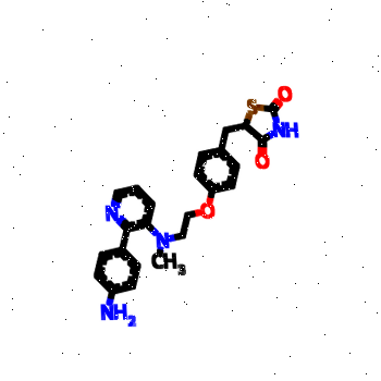 CN(CCOc1ccc(CC2SC(=O)NC2=O)cc1)c1cccnc1-c1ccc(N)cc1